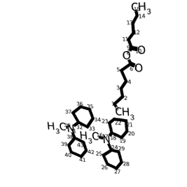 CCCCCCC(=O)OC(=O)CCCCC.CN(C1CCCCC1)C1CCCCC1.CN(C1CCCCC1)C1CCCCC1